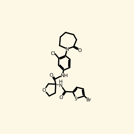 O=C(N[C@]1(C(=O)Nc2ccc(N3CCCCCC3=O)c(Cl)c2)CCOC1)c1ccc(Br)s1